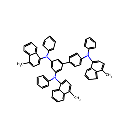 Cc1ccc(N(c2ccccc2)c2ccc(-c3cc(N(c4ccccc4)c4ccc(C)c5ccccc45)cc(N(c4ccccc4)c4ccc(C)c5ccccc45)c3)cc2)c2ccccc12